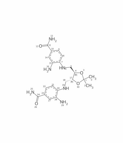 CC1(C)O[C@H](CNc2ccc(C(N)=O)cc2N)[C@@H](CNc2ccc(C(N)=O)cc2N)O1